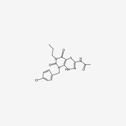 CCCn1c(=O)c2c(n(Cc3ccc(Cl)cc3)c1=O)NN=C(NC(C)=O)S2